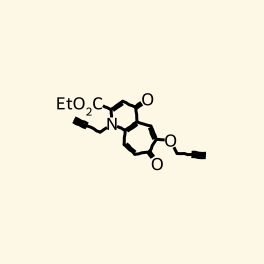 C#CCOc1cc2c(=O)cc(C(=O)OCC)n(CC#C)c2ccc1=O